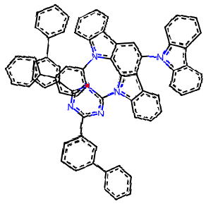 c1ccc(-c2cccc(-c3nc(-c4cccc(-c5ccccc5)c4)nc(-n4c5ccccc5c5c(-n6c7ccccc7c7ccccc76)cc6c7ccccc7n(-c7cccc(-c8ccccc8)c7)c6c54)n3)c2)cc1